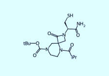 CC(C)C(=O)N1CCN(C(=O)OC(C)(C)C)CC12CN([C@@H](CS)C(N)=O)C2=O